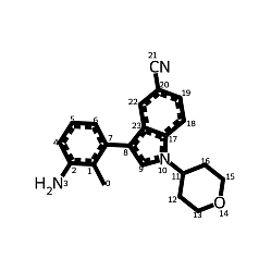 Cc1c(N)cccc1-c1cn(C2CCOCC2)c2ccc(C#N)cc12